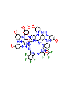 COc1ccc(Nc2c(Nc3ccc(OC)cc3)c(Nc3ccc(OC)cc3)c3c(c2Nc2ccc(OC)cc2)-c2nc-3nc3[nH]c(nc4nc(nc5[nH]c(n2)c2c(F)c(F)c(F)c(F)c52)-c2c(F)c(F)c(F)c(F)c2-4)c2c(Nc4ccc(OC)cc4)c(Nc4ccc(OC)cc4)c(Nc4ccc(OC)cc4)c(Nc4ccc(OC)cc4)c32)cc1